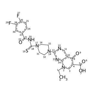 CCn1cc(C(=O)O)c(=O)c2cnc(N3CCN(C(=S)NC(=O)c4ccc(F)c(F)c4)CC3)nc21